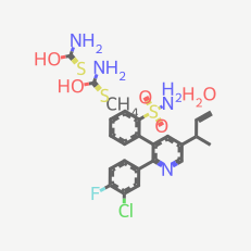 C.C=CC(C)c1cnc(-c2ccc(F)c(Cl)c2)c(-c2ccccc2S(N)(=O)=O)c1.NC(O)=S.NC(O)=S.O